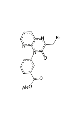 COC(=O)c1cccc(-n2c(=O)c(CBr)nc3cccnc32)c1